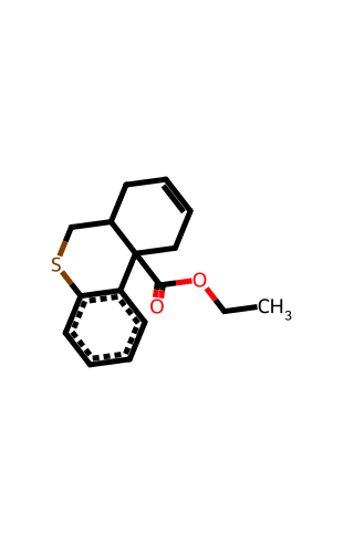 CCOC(=O)C12CC=CCC1CSc1ccccc12